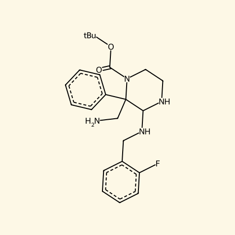 CC(C)(C)OC(=O)N1CCNC(NCc2ccccc2F)C1(CN)c1ccccc1